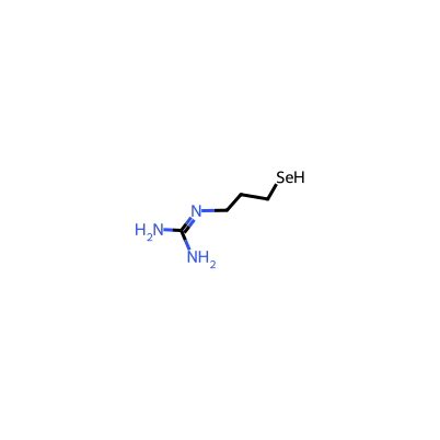 NC(N)=NCCC[SeH]